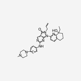 C=CCn1c(=O)c2cnc(Nc3ccc(N4CCN(C)CC4)cc3)nc2n1-c1ccc2c(n1)[C@](O)(CC)CCC2